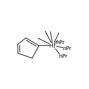 CC[CH2][Hf]([CH3])([CH3])([CH3])([CH3])([CH3])([CH2]CC)([CH2]CC)[C]1=CC=CC1